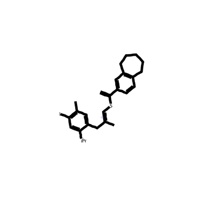 C=C(S/C=C(\C)Cc1cc(C)c(I)cc1C(C)C)c1ccc2c(c1)CCCCC2